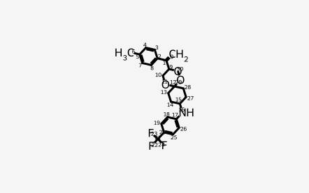 C=C(c1ccc(C)cc1)C1COC2(CCC(Nc3ccc(C(F)(F)F)cc3)CC2)OO1